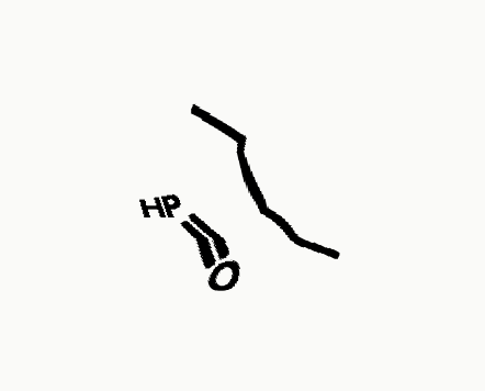 CCCC.O=P